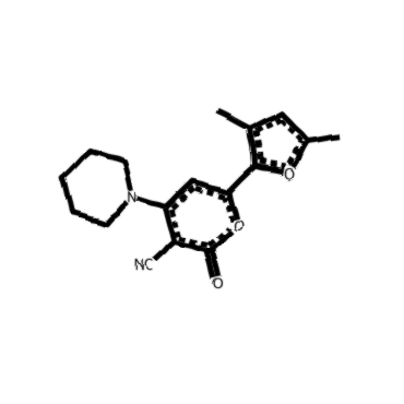 Cc1cc(C)c(-c2cc(N3CCCCC3)c(C#N)c(=O)o2)o1